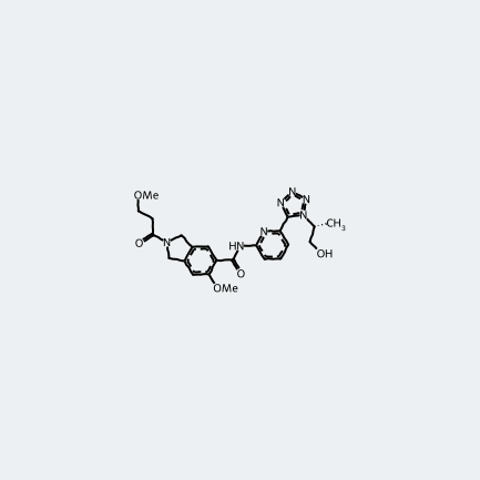 COCCC(=O)N1Cc2cc(OC)c(C(=O)Nc3cccc(-c4nnnn4[C@H](C)CO)n3)cc2C1